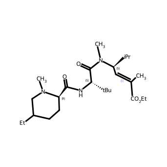 CCOC(=O)/C(C)=C/[C@H](C(C)C)N(C)C(=O)[C@@H](NC(=O)[C@H]1CCC(CC)CN1C)C(C)(C)C